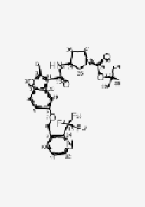 Cc1oc2ccc(OCc3cccnc3C(F)(F)F)cc2c1C(=O)NC1CCN(C(=O)OC(C)(C)C)C1